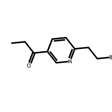 CCC(=O)c1ccc(CCBr)nc1